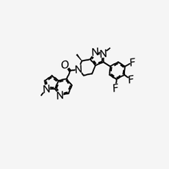 C[C@H]1c2nn(C)c(-c3cc(F)c(F)c(F)c3)c2CCN1C(=O)c1ccnc2c1ccn2C